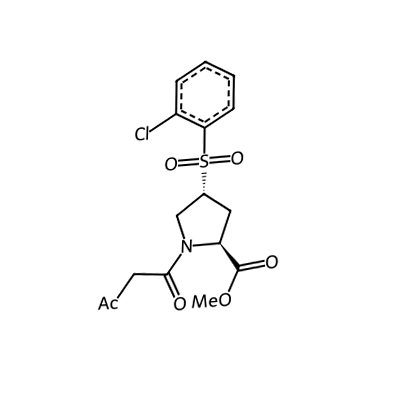 COC(=O)[C@@H]1C[C@@H](S(=O)(=O)c2ccccc2Cl)CN1C(=O)CC(C)=O